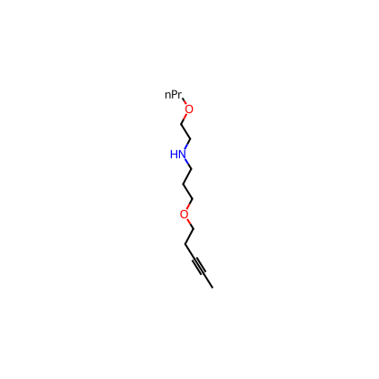 CC#CCCOCCCNCCOCCC